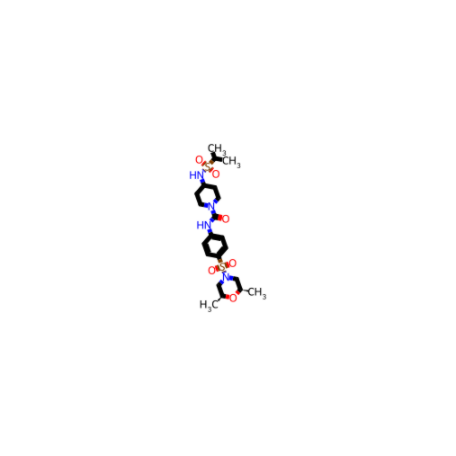 CC(C)S(=O)(=O)NC1CCN(C(=O)Nc2ccc(S(=O)(=O)N3C[C@@H](C)O[C@@H](C)C3)cc2)CC1